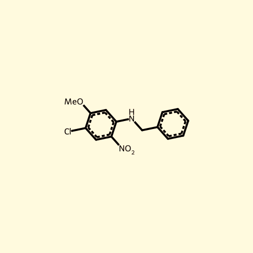 COc1cc(NCc2ccccc2)c([N+](=O)[O-])cc1Cl